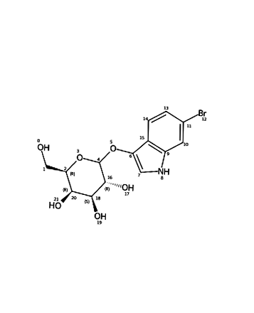 OC[C@H]1OC(Oc2c[nH]c3cc(Br)ccc23)[C@H](O)[C@@H](O)[C@H]1O